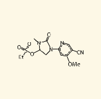 CCS(=O)(=O)OC1CN(c2cc(OC)c(C#N)cn2)C(=O)N1C